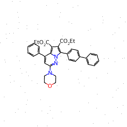 CCOC(=O)c1c(C(=O)OCC)c2c(-c3ccccc3)cc(N3CCOCC3)nn2c1-c1ccc(-c2ccccc2)cc1